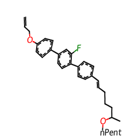 C=CCOc1ccc(-c2ccc(-c3ccc(C=CCCCC(C)OCCCCC)cc3)c(F)c2)cc1